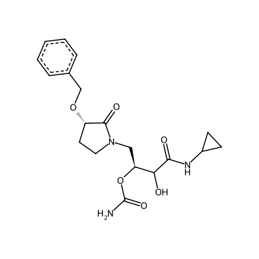 NC(=O)O[C@@H](CN1CC[C@H](OCc2ccccc2)C1=O)C(O)C(=O)NC1CC1